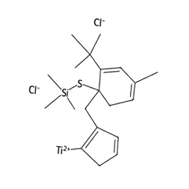 CC1=CCC(CC2=[C]([Ti+2])CC=C2)(S[Si](C)(C)C)C(C(C)(C)C)=C1.[Cl-].[Cl-]